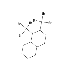 BrC(Br)(Br)[C]1C2CCCCC2CCC1C(Br)(Br)Br